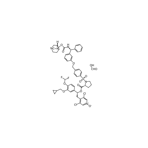 O=C(N[C@@H](c1ccccc1)c1cccc(OCc2ccc(S(=O)(=O)N3CCC[C@H]3C(=O)O[C@@H](Cc3c(Cl)c[n+]([O-])cc3Cl)c3ccc(OC(F)F)c(OCC4CC4)c3)cc2)c1)O[C@H]1CN2CCC1CC2.O=CO